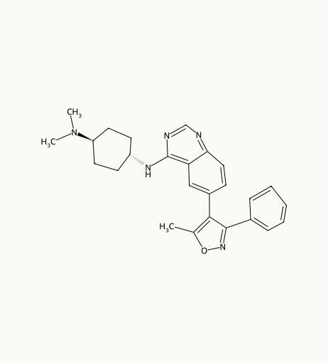 Cc1onc(-c2ccccc2)c1-c1ccc2ncnc(N[C@H]3CC[C@H](N(C)C)CC3)c2c1